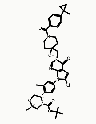 Cc1cc(-n2c(Cl)cc3c(=O)n(CC4(O)CCN(C(=O)c5ccc(C6(C)CC6)cc5)CC4)cnc32)ccc1[C@H]1CO[C@H](C)CN1C(=O)OC(C)(C)C